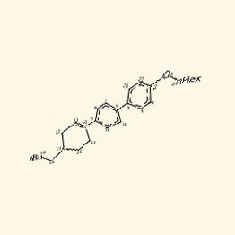 CCCCCCOc1ccc(-c2ccc(C3=CCC(CC(C)CC)CC3)cc2)cc1